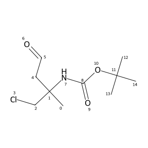 CC(CCl)(CC=O)NC(=O)OC(C)(C)C